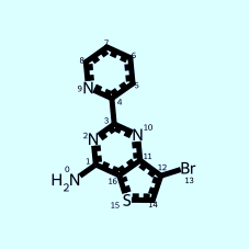 Nc1nc(-c2ccccn2)nc2c(Br)csc12